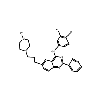 [O-][S+]1CCN(CCCc2ccc3nc(-c4cccnc4)nc(Nc4ccc(F)c(Cl)c4)c3c2)CC1